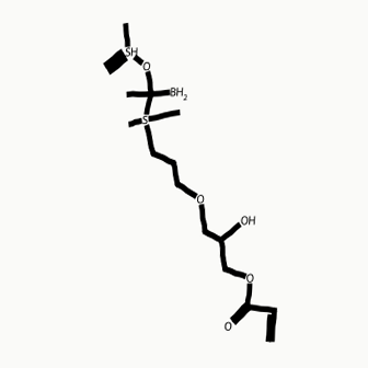 BC(C)(O[SH](#C)C)S(C)(C)CCCOCC(O)COC(=O)C=C